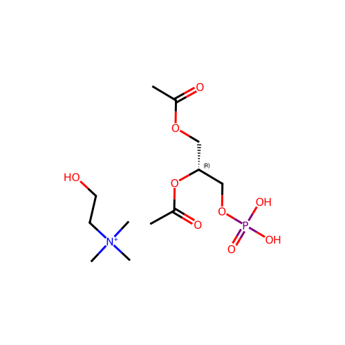 CC(=O)OC[C@H](COP(=O)(O)O)OC(C)=O.C[N+](C)(C)CCO